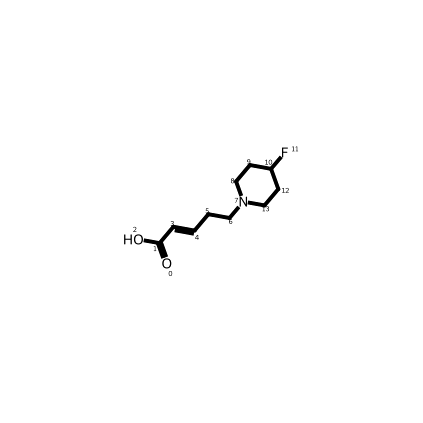 O=C(O)/C=C/CCN1CCC(F)CC1